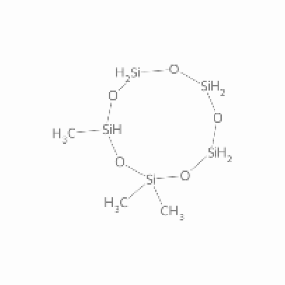 C[SiH]1O[SiH2]O[SiH2]O[SiH2]O[Si](C)(C)O1